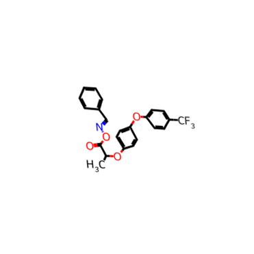 CC(Oc1ccc(Oc2ccc(C(F)(F)F)cc2)cc1)C(=O)ON=Cc1ccccc1